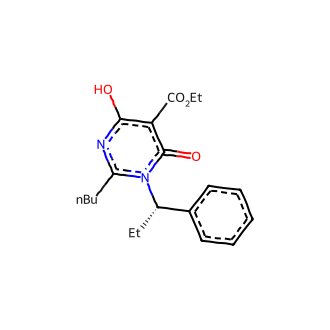 CCCCc1nc(O)c(C(=O)OCC)c(=O)n1[C@@H](CC)c1ccccc1